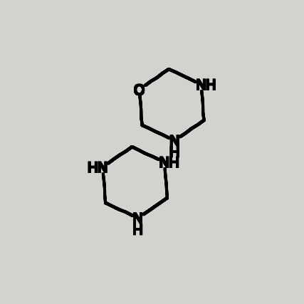 C1NCNCN1.C1NCOCN1